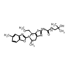 COC[C@H]1c2sc(NC(=O)NCC(C)(C)O)nc2C[C@@H](C)N1c1nc2cc(C)ccc2o1